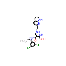 N=C(CO)/C(=C\NCCc1ccc2c(n1)NCCC2)C(=O)NC(CC(=O)O)c1cc(Cl)cc(Cl)c1